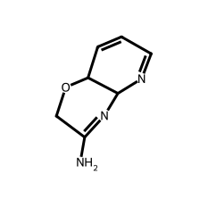 NC1=NC2N=CC=CC2OC1